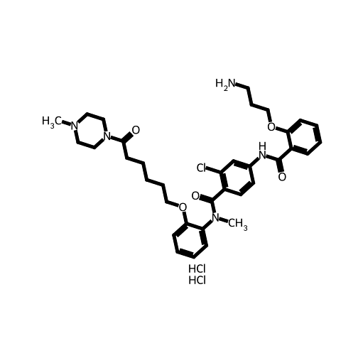 CN1CCN(C(=O)CCCCCOc2ccccc2N(C)C(=O)c2ccc(NC(=O)c3ccccc3OCCCN)cc2Cl)CC1.Cl.Cl